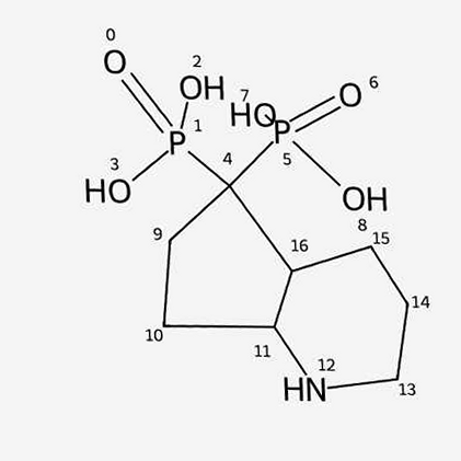 O=P(O)(O)C1(P(=O)(O)O)CCC2NCCCC21